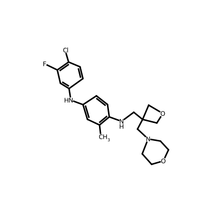 Cc1cc(Nc2ccc(Cl)c(F)c2)ccc1NCC1(CN2CCOCC2)COC1